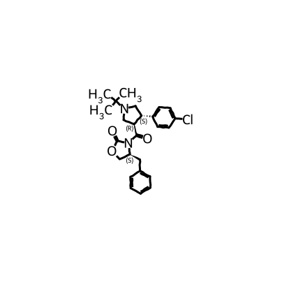 CC(C)(C)N1C[C@H](C(=O)N2C(=O)OC[C@@H]2Cc2ccccc2)[C@@H](c2ccc(Cl)cc2)C1